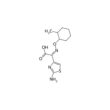 CC1CCCCC1ON=C(C(=O)O)c1csc(N)n1